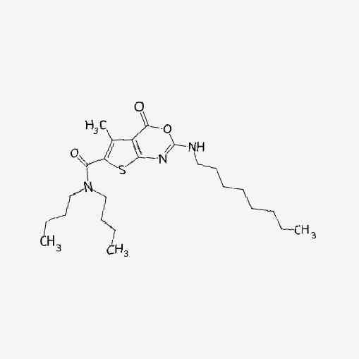 CCCCCCCCNc1nc2sc(C(=O)N(CCCC)CCCC)c(C)c2c(=O)o1